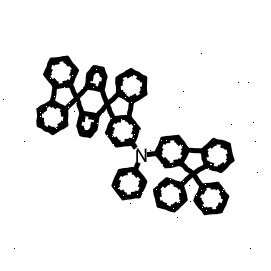 c1ccc(N(c2ccc3c(c2)-c2ccccc2C32c3ccccc3C3(c4ccccc4-c4ccccc43)c3ccccc32)c2ccc3c(c2)C(c2ccccc2)(c2ccccc2)c2ccccc2-3)cc1